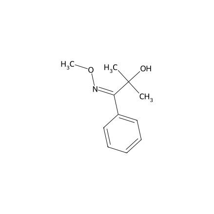 CON=C(c1ccccc1)C(C)(C)O